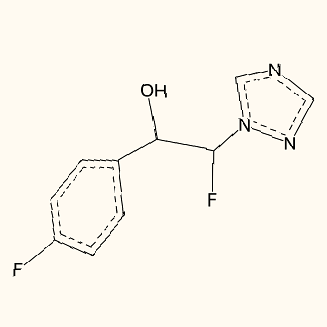 OC(c1ccc(F)cc1)C(F)n1cncn1